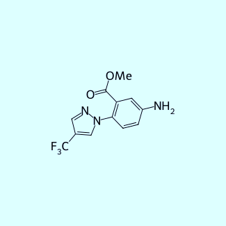 COC(=O)c1cc(N)ccc1-n1cc(C(F)(F)F)cn1